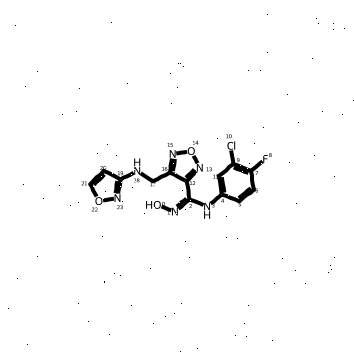 O/N=C(/Nc1ccc(F)c(Cl)c1)c1nonc1CNc1ccon1